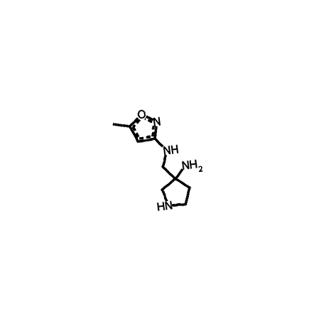 Cc1cc(NCC2(N)CCNC2)no1